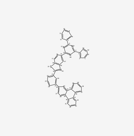 c1ccc(-c2nc(-c3ccccc3)nc(-c3ccc4sc(-c5cccc(-c6ccc7c8ccccc8c8ccccc8c7c6)c5)nc4c3)n2)cc1